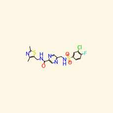 Cc1nc(C)c(CNC(=O)c2cnc(CNS(=O)(=O)c3ccc(F)c(Cl)c3)cn2)s1